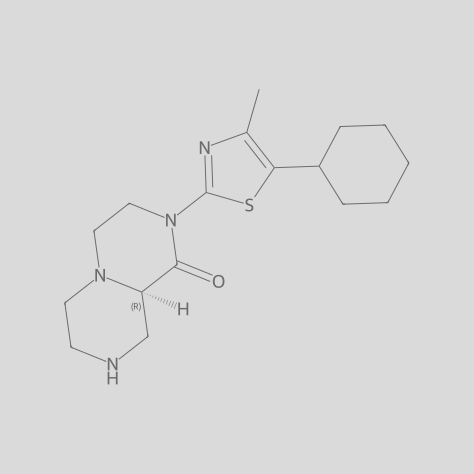 Cc1nc(N2CCN3CCNC[C@@H]3C2=O)sc1C1CCCCC1